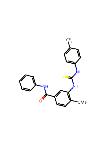 COc1ccc(C(=O)Nc2ccccc2)cc1NC(=S)Nc1ccc(C(F)(F)F)cc1